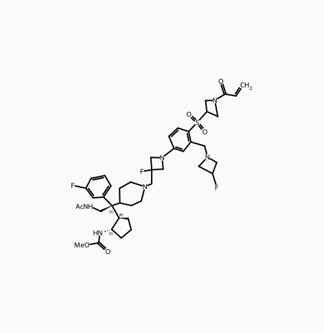 C=CC(=O)N1CC(S(=O)(=O)c2ccc(N3CC(F)(CN4CCC([C@@](CNC(C)=O)(c5cccc(F)c5)[C@H]5CCC[C@@H]5NC(=O)OC)CC4)C3)cc2CN2CC(F)C2)C1